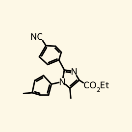 CCOC(=O)c1nc(-c2ccc(C#N)cc2)n(-c2ccc(C)cc2)c1C